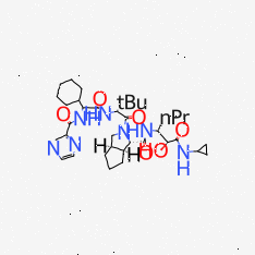 CCC[C@H](NC(=O)[C@@H]1[C@H]2CCC[C@H]2CN1C(=O)C(NC(=O)C(NC(=O)c1cnccn1)C1CCCCC1)C(C)(C)C)[C@H](O)C(=O)NC1CC1